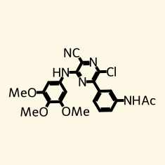 COc1cc(Nc2nc(-c3cccc(NC(C)=O)c3)c(Cl)nc2C#N)cc(OC)c1OC